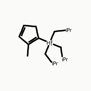 CC1=[C]([Hf]([CH2]C(C)C)([CH2]C(C)C)[CH2]C(C)C)CC=C1